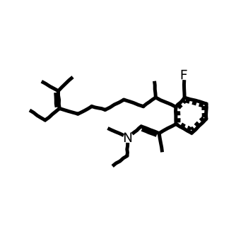 CCC(CCCCCC(C)c1c(F)cccc1/C(C)=C/N(C)CC)=C(C)C